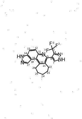 FC(F)(F)c1n[nH]cc1-c1nc2ccc3[nH]ncc3c2c2c1CCCCC2